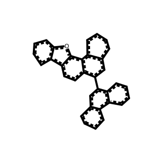 c1ccc2c(c1)cc(-c1cc3ccccc3c3c1ccc1c4ccccc4oc13)c1ccccc12